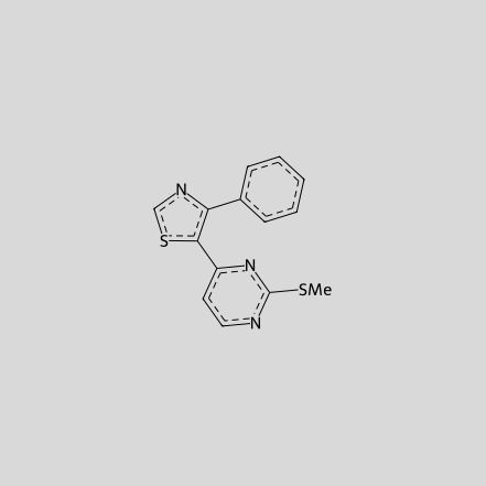 CSc1nccc(-c2scnc2-c2ccccc2)n1